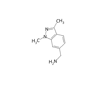 Cc1nn(C)c2cc(CN)ccc12